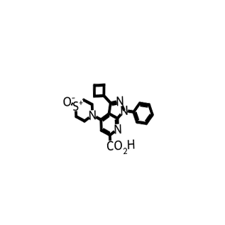 O=C(O)c1cc(N2CC[S+]([O-])CC2)c2c(C3CCC3)nn(-c3ccccc3)c2n1